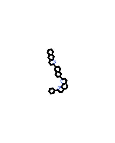 c1ccc(-c2ccc3ccc4ccc(-c5ccc6cc(-c7ccc8cc9ccccc9cc8n7)ccc6c5)nc4c3n2)cc1